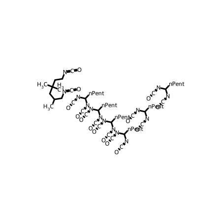 CC(CN=C=O)CC(C)(C)CCN=C=O.CCCCCC(N=C=O)N=C=O.CCCCCC(N=C=O)N=C=O.CCCCCC(N=C=O)N=C=O.CCCCCC(N=C=O)N=C=O.CCCCCC(N=C=O)N=C=O.CCCCCC(N=C=O)N=C=O